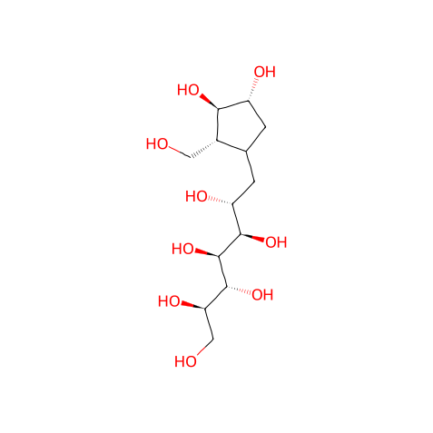 OC[C@@H](O)[C@@H](O)[C@@H](O)[C@H](O)[C@H](O)CC1C[C@@H](O)[C@H](O)[C@H]1CO